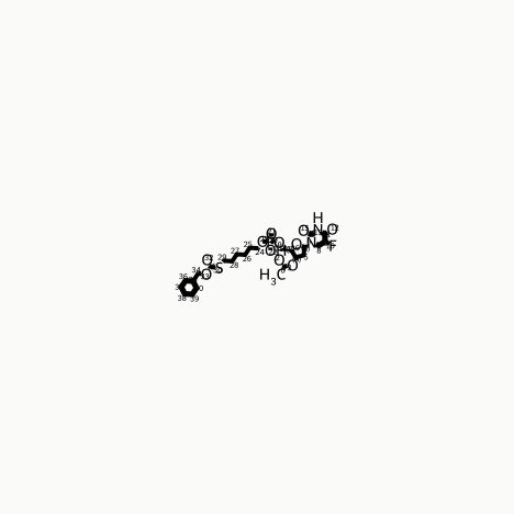 CC(=O)O[C@@H]1C[C@H](n2cc(F)c(=O)[nH]c2=O)O[C@@H]1COP(=O)(O)OCCCCCCSC(=O)OCc1ccccc1